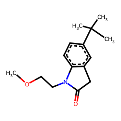 COCCN1C(=O)Cc2cc(C(C)(C)C)ccc21